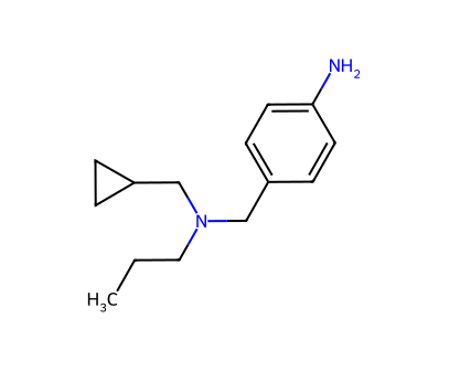 CCCN(Cc1ccc(N)cc1)CC1CC1